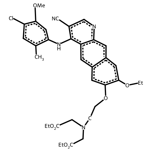 CCOC(=O)CN(CCOc1cc2cc3c(Nc4cc(OC)c(Cl)cc4C)c(C#N)cnc3cc2cc1OCC)CC(=O)OCC